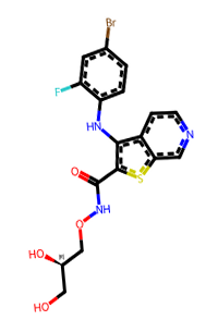 O=C(NOC[C@H](O)CO)c1sc2cnccc2c1Nc1ccc(Br)cc1F